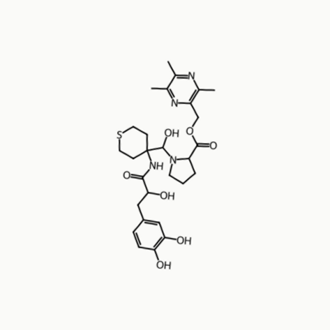 Cc1nc(C)c(COC(=O)C2CCCN2C(O)C2(NC(=O)C(O)Cc3ccc(O)c(O)c3)CCSCC2)nc1C